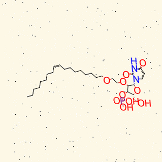 CCCCCCCC/C=C\CCCCCCCCOCCO[C@@H]1[C@H](OP(=O)(O)O)[C@@H](CO)O[C@H]1n1ccc(=O)[nH]c1=O